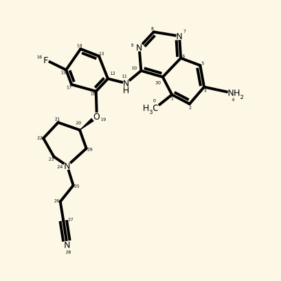 Cc1cc(N)cc2ncnc(Nc3ccc(F)cc3O[C@@H]3CCCN(CCC#N)C3)c12